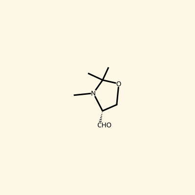 CN1[C@@H](C=O)COC1(C)C